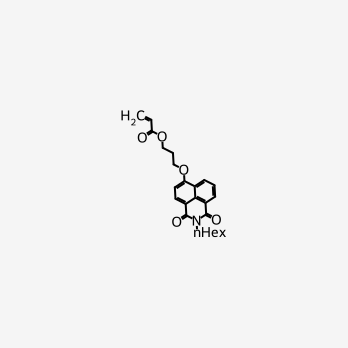 C=CC(=O)OCCCOc1ccc2c3c(cccc13)C(=O)N(CCCCCC)C2=O